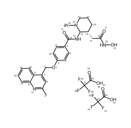 Cc1cc(COc2ccc(C(=O)NC3[C@@H](CC(=O)NO)CCCN3C(C)C)cc2)c2ccccc2n1.O=C(O)C(F)(F)F.O=C(O)C(F)(F)F